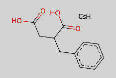 O=C(O)CC(Cc1ccccc1)C(=O)O.[CsH]